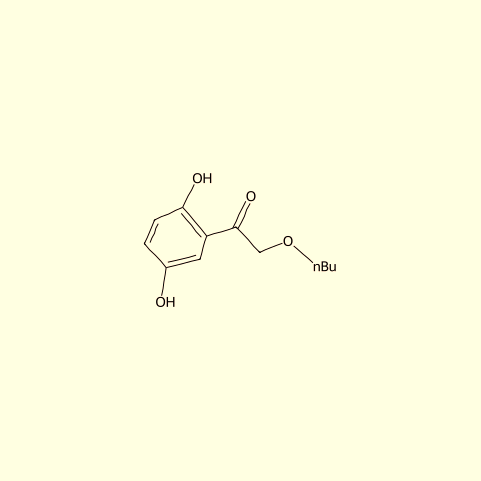 CCCCOCC(=O)c1cc(O)ccc1O